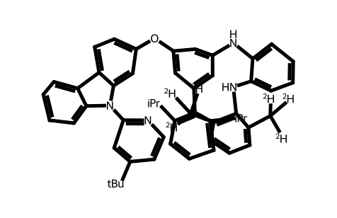 [2H]C([2H])([2H])c1cccc(C([2H])([2H])[2H])c1Nc1ccccc1Nc1cc(Oc2ccc3c4ccccc4n(-c4cc(C(C)(C)C)ccn4)c3c2)cc(-c2c(C(C)C)cccc2C(C)C)c1